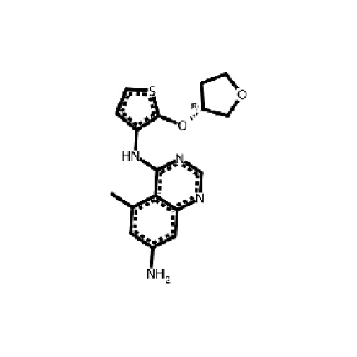 Cc1cc(N)cc2ncnc(Nc3ccsc3O[C@@H]3CCOC3)c12